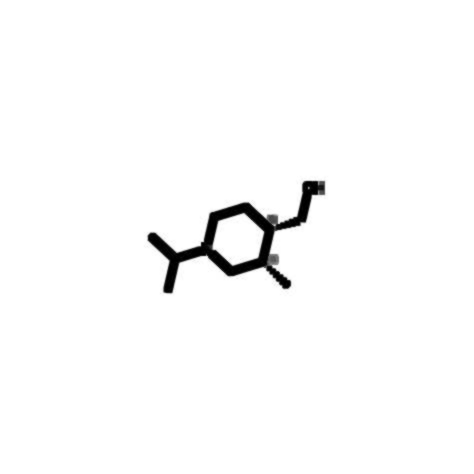 CC(C)N1CC[C@H](CO)[C@H](C)C1